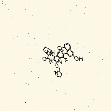 CN1C(=O)C2C3CCC(CN2c2c1c(OCC1CCCN1C)nc1c(F)c(-c4cc(O)cc5cccc(Cl)c45)ncc21)N3